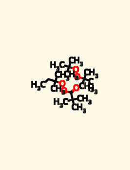 CC(C)(C)OOC(C)(C)C.CCC(C)(C)OOC(=O)C(C)(C)C